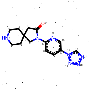 O=C1CC2(CCNCC2)CN1c1ccc(-n2cnnn2)cn1